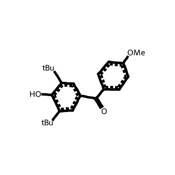 COc1ccc(C(=O)c2cc(C(C)(C)C)c(O)c(C(C)(C)C)c2)cc1